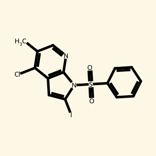 Cc1cnc2c(cc(I)n2S(=O)(=O)c2ccccc2)c1Cl